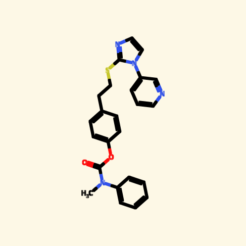 CN(C(=O)Oc1ccc(CCSc2nccn2-c2cccnc2)cc1)c1ccccc1